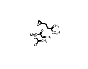 C=C(CCC1CO1)C(=O)O.C=C(Cl)Cl.C=CC(=O)OC